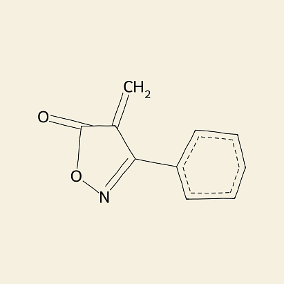 C=C1C(=O)ON=C1c1ccccc1